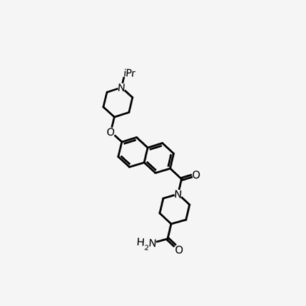 CC(C)N1CCC(Oc2ccc3cc(C(=O)N4CCC(C(N)=O)CC4)ccc3c2)CC1